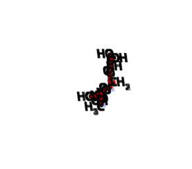 C=CC(C/C=C\COC(=O)CCN(CCCN(CCO)CCO)CCC(=O)OC/C=C/C)CC/C=C/COC(=O)CCNCCCN(CCO)CCO